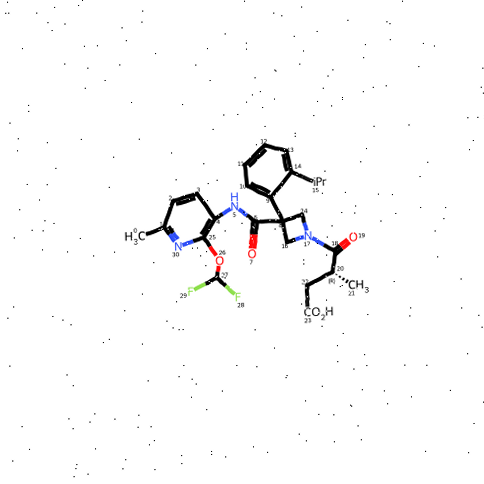 Cc1ccc(NC(=O)C2(c3ccccc3C(C)C)CN(C(=O)[C@H](C)CC(=O)O)C2)c(OC(F)F)n1